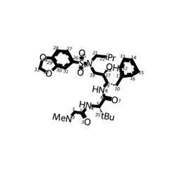 CNCC(=O)N[C@H](C(=O)N[C@@H](Cc1ccccc1)[C@H](O)CN(CC(C)C)S(=O)(=O)c1ccc2c(c1)OCO2)C(C)(C)C